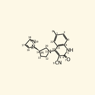 Cc1ccc2[nH]c(=O)c(C#N)c(N3CC[C@@H](n4cccn4)C3)c2c1